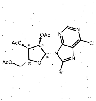 CC(=O)OC[C@H]1O[C@@H](n2c(Br)nc3c(Cl)ncnc32)[C@H](OC(C)=O)[C@@H]1OC(C)=O